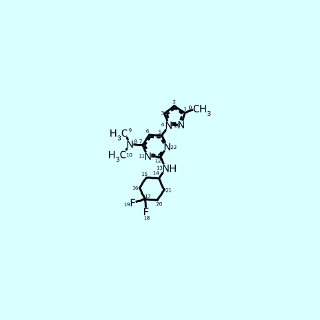 Cc1ccn(-c2cc(N(C)C)nc(NC3CCC(F)(F)CC3)n2)n1